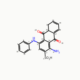 Nc1c(S(=O)(=O)O)cc(Nc2ccccc2)c2c1C(=O)C1=CC=CCC1C2=O